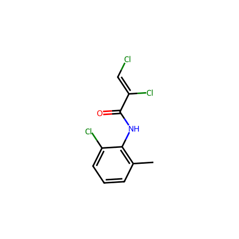 Cc1cccc(Cl)c1NC(=O)/C(Cl)=C/Cl